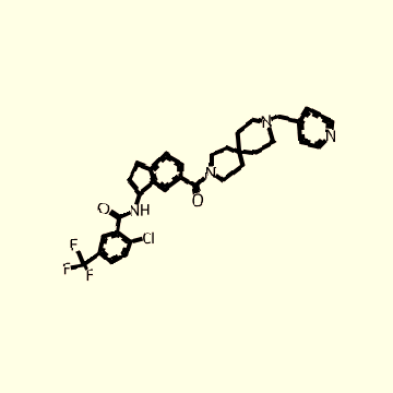 O=C(NC1CCc2ccc(C(=O)N3CCC4(CCN(Cc5ccncc5)CC4)CC3)cc21)c1cc(C(F)(F)F)ccc1Cl